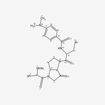 CCCC(NC(C)=O)C(=O)N1CC(=O)C2C1CCN2C(=O)C(CC(C)C)NC(=O)c1ccc(N(C)C)cc1